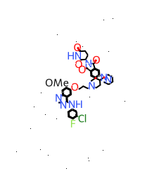 COc1cc2ncnc(Nc3ccc(F)c(Cl)c3)c2cc1OCCCN1CCC(CN2C3CC2CN(c2ccc4c(c2)C(=O)N(C2CCC(=O)NC2=O)C4=O)C3)CC1